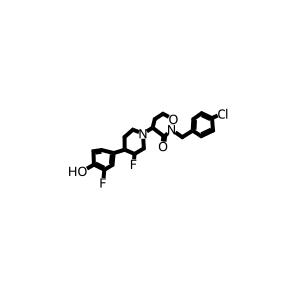 O=C1C(N2CCC(c3ccc(O)c(F)c3)C(F)C2)CCON1Cc1ccc(Cl)cc1